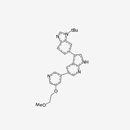 COCCOc1cncc(-c2cnc3[nH]cc(-c4ccc5ncn(C(C)(C)C)c5c4)c3c2)c1